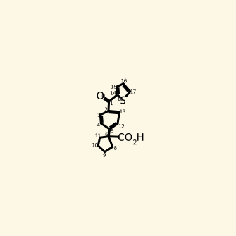 O=C(c1ccc(C2(C(=O)O)CCCC2)cc1)c1cccs1